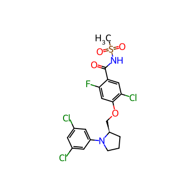 CS(=O)(=O)NC(=O)c1cc(Cl)c(OC[C@H]2CCCN2c2cc(Cl)cc(Cl)c2)cc1F